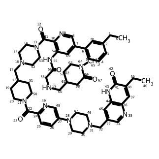 CCc1cccc(-c2cnc(C(=O)N3CCN(CC4CCN(C(=O)c5ccc(N6CCN(Cc7cnc8cc(CC)c(=O)[nH]c8c7)CC6)cn5)CC4)CC3)c(NC(=O)CNCC3CCN(C)C(=O)C3)c2)c1